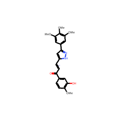 COc1ccc(C(=O)/C=C/c2cc(-c3cc(OC)c(OC)c(OC)c3)n[nH]2)cc1O